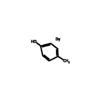 Cc1ccc(O)cc1.[Dy]